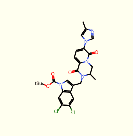 Cc1cn(-c2ccc3n(c2=O)CC(C)N(Cc2cn(C(=O)OC(C)(C)C)c4cc(Cl)c(Cl)cc24)C3=O)cn1